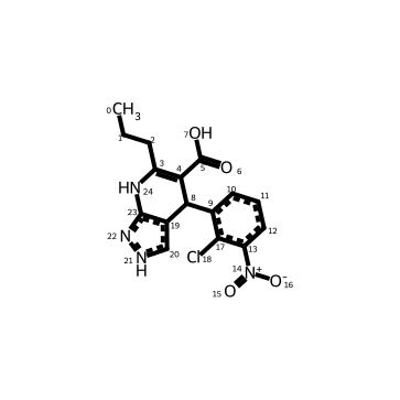 CCCC1=C(C(=O)O)C(c2cccc([N+](=O)[O-])c2Cl)c2c[nH]nc2N1